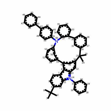 CC(C)(C)c1ccc2c3c4cc(cc3n(-c3ccccc3)c2c1)C(C)(C)c1cccc(c1)-c1ccccc1N(c1ccc(-c2ccccc2)cc1)c1cccc-4c1